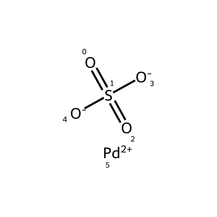 O=S(=O)([O-])[O-].[Pd+2]